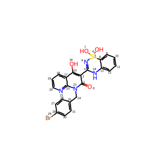 O=c1c(C2=NS(O)(O)c3ccccc3N2)c(O)c2cccnc2n1Cc1ccc(Br)cc1